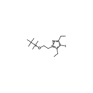 CCc1nn(CCO[Si](C)(C)C(C)(C)C)c(CC)c1I